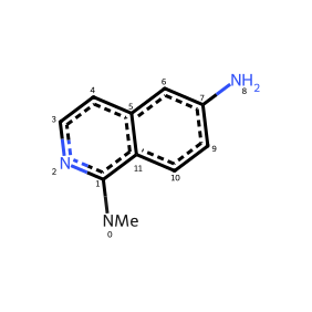 CNc1nccc2cc(N)ccc12